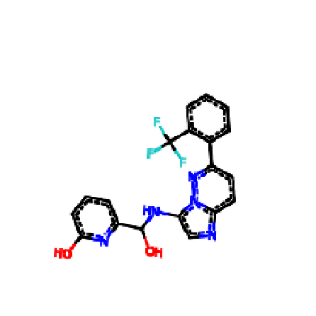 Oc1cccc(C(O)Nc2cnc3ccc(-c4ccccc4C(F)(F)F)nn23)n1